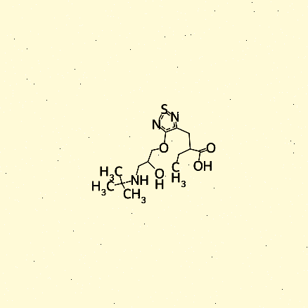 CCC(Cc1nsnc1OCC(O)CNC(C)(C)C)C(=O)O